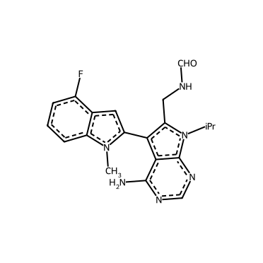 CC(C)n1c(CNC=O)c(-c2cc3c(F)cccc3n2C)c2c(N)ncnc21